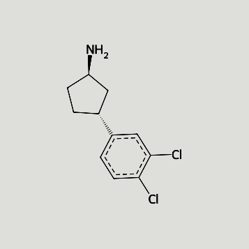 N[C@@H]1CC[C@@H](c2ccc(Cl)c(Cl)c2)C1